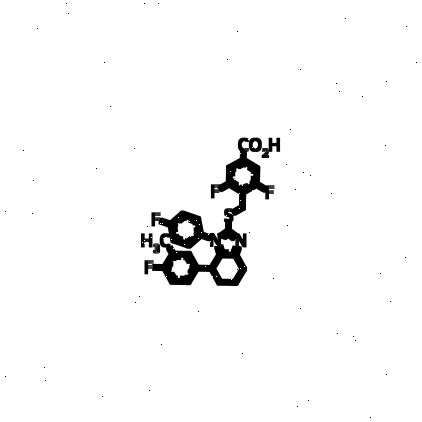 Cc1cc(C2CCCc3nc(SCc4c(F)cc(C(=O)O)cc4F)n(-c4ccc(F)cc4)c32)ccc1F